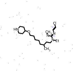 C=N/C(=N\C=C\Cl)N(CC)CCC(C)CCCCCOC1CCNCC1